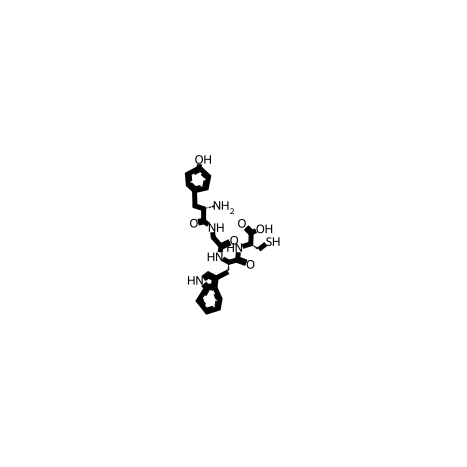 N[C@@H](Cc1ccc(O)cc1)C(=O)NCC(=O)N[C@@H](Cc1c[nH]c2ccccc12)C(=O)N[C@@H](CS)C(=O)O